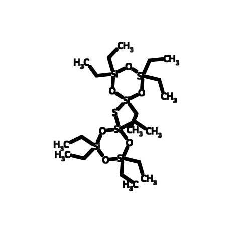 CC[Si]1(CC)O[Si](CC)(CC)O[Si](CC)(S[Si]2(CC)O[Si](CC)(CC)O[Si](CC)(CC)O2)O1